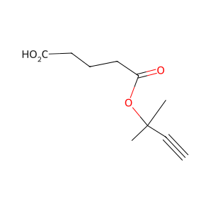 C#CC(C)(C)OC(=O)CCCC(=O)O